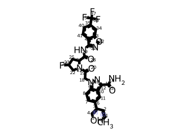 C/C=C\C(=C/O)c1ccc2c(c1)c(C(N)=O)nn2CC(=O)N1CC(F)CC1C(=O)Nc1noc2cc(C(F)(F)F)ccc12